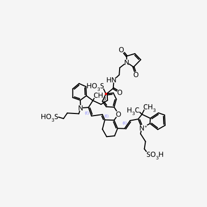 CC1(C)C(/C=C/C2=C(Oc3ccc(S(=O)(=O)O)cc3)C(=C/C=C3/N(CCCS(=O)(=O)O)c4ccccc4C3(C)CCCC(=O)NCCN3C(=O)C=CC3=O)/CCC2)=[N+](CCCS(=O)(=O)O)c2ccccc21